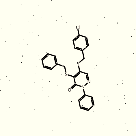 O=c1c(SCc2ccccc2)c(SCc2ccc(Cl)cc2)cnn1-c1ccccc1